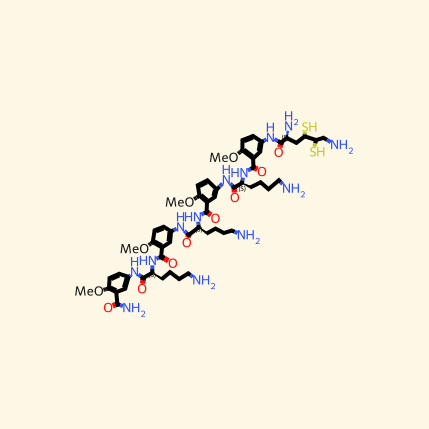 COc1ccc(NC(=O)[C@H](CCCCN)NC(=O)c2cc(NC(=O)[C@H](CCCCN)NC(=O)c3cc(NC(=O)[C@H](CCCCN)NC(=O)c4cc(NC(=O)[C@@H](N)CC(S)C(S)CN)ccc4OC)ccc3OC)ccc2OC)cc1C(N)=O